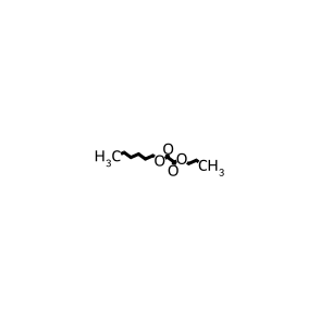 CCCCCCOC(=O)C(=O)OCCC